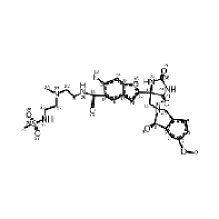 COc1ccc2c(c1)C(=O)N(C[C@@]1(c3cc4cc(C(=O)NCCN(C)CCNS(C)(=O)=O)c(F)cc4o3)NC(=O)NC1=O)C2